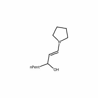 CCCCCC(O)C=CN1CCCC1